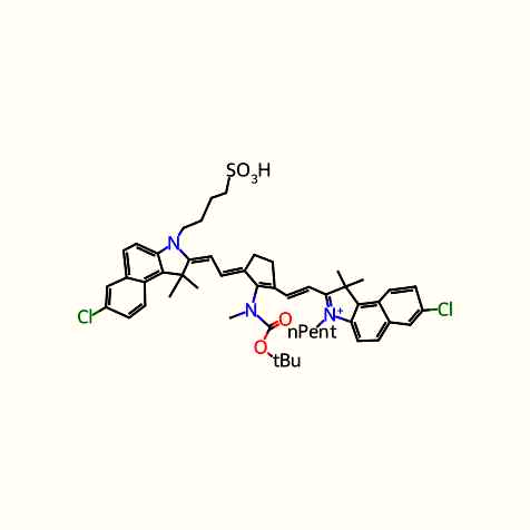 CCCCC[N+]1=C(/C=C/C2=C(N(C)C(=O)OC(C)(C)C)C(=C/C=C3/N(CCCCS(=O)(=O)O)c4ccc5cc(Cl)ccc5c4C3(C)C)/CC2)C(C)(C)c2c1ccc1cc(Cl)ccc21